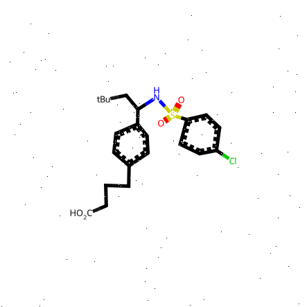 CC(C)(C)CC(NS(=O)(=O)c1ccc(Cl)cc1)c1ccc(CCCC(=O)O)cc1